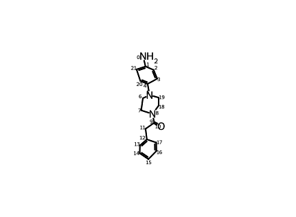 Nc1ccc(N2CCN(C(=O)Cc3ccccc3)CC2)cc1